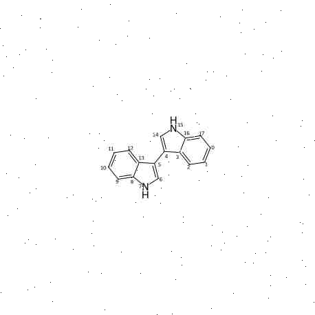 c1ccc2c(-c3c[nH]c4ccccc34)c[nH]c2c1